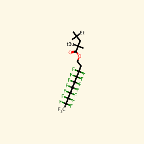 CCC(C)(C)CC(C)(C(=O)OCCC(F)(F)C(F)(F)C(F)(F)C(F)(F)C(F)(F)C(F)(F)C(F)(F)C(F)(F)F)C(C)(C)C